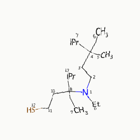 CCN(CCC(C)(C)C(C)C)C(C)(CCS)C(C)C